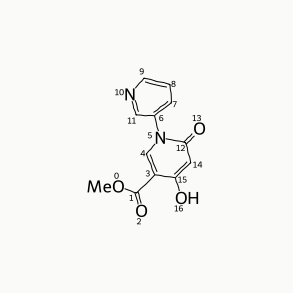 COC(=O)c1cn(-c2cccnc2)c(=O)cc1O